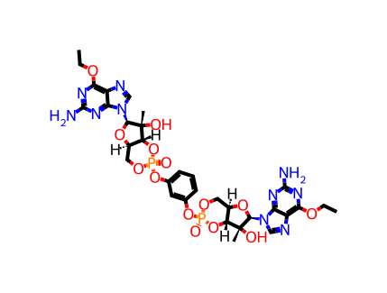 CCOc1nc(N)nc2c1ncn2[C@@H]1O[C@@H]2COP(=O)(Oc3cccc(OP4(=O)OC[C@H]5O[C@@H](n6cnc7c(OCC)nc(N)nc76)[C@](C)(O)[C@@H]5O4)c3)O[C@H]2[C@@]1(C)O